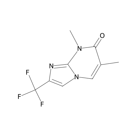 Cc1cn2cc(C(F)(F)F)nc2n(C)c1=O